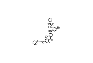 Cc1cc(OCCOC2CCCCO2)ccc1C(=O)c1ccc(Nc2ccc(Br)cc2NC(=O)NC2CCCCC2)cc1Cl